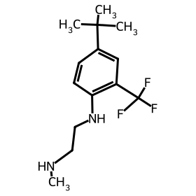 CNCCNc1ccc(C(C)(C)C)cc1C(F)(F)F